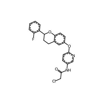 O=C(CCl)Nc1ccc(Oc2ccc3c(c2)CCC(c2ccccc2F)O3)nc1